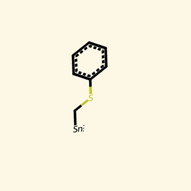 [Sn][CH2]Sc1ccccc1